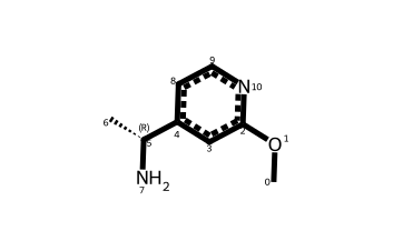 COc1cc([C@@H](C)N)ccn1